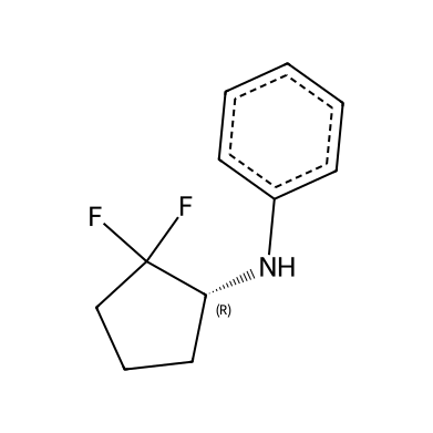 FC1(F)CCC[C@H]1Nc1ccccc1